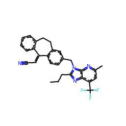 CCCc1nc2c(C(F)(F)F)cc(C)nc2n1Cc1ccc2c(c1)CCc1ccccc1C2=CC#N